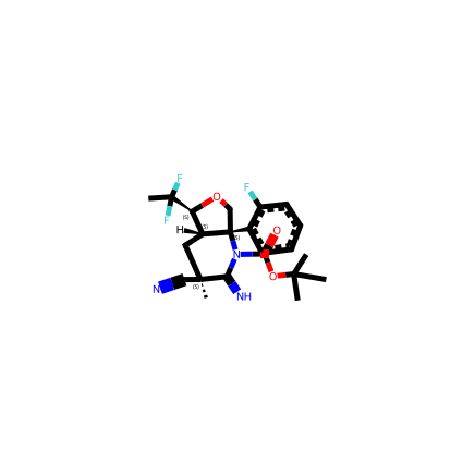 CC(C)(C)OC(=O)N1C(=N)[C@@](C)(C#N)C[C@@H]2[C@@H](C(C)(F)F)OC[C@@]21c1ccccc1F